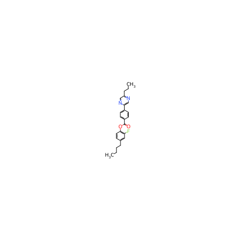 CCCCc1ccc(OC(=O)c2ccc(-c3cnc(CCC)cn3)cc2)c(F)c1